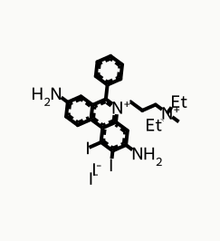 CC[N+](C)(CC)CCC[n+]1c(-c2ccccc2)c2cc(N)ccc2c2c(I)c(I)c(N)cc21.[I-].[I-]